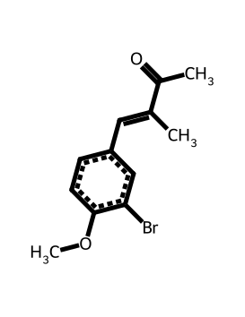 COc1ccc(/C=C(\C)C(C)=O)cc1Br